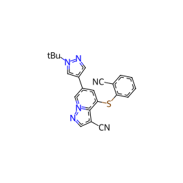 CC(C)(C)n1cc(-c2cc(Sc3ccccc3C#N)c3c(C#N)cnn3c2)cn1